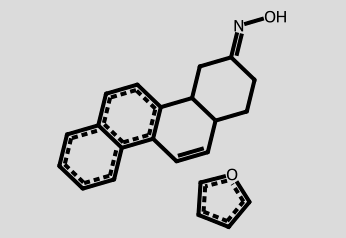 ON=C1CCC2C=Cc3c(ccc4ccccc34)C2C1.c1ccoc1